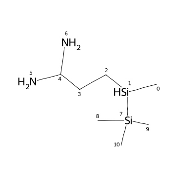 C[SiH](CCC(N)N)[Si](C)(C)C